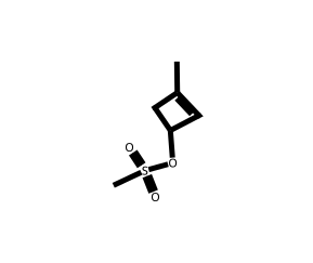 CC1=CC(OS(C)(=O)=O)C1